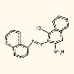 O=S(=O)(O)c1cc2ccccc2c(O)c1N=Nc1cccc2ccccc12